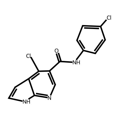 O=C(Nc1ccc(Cl)cc1)c1cnc2[nH]ccc2c1Cl